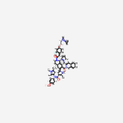 Cc1c(N(C(=O)c2cc(-c3cc4c(cc3C(=O)N3Cc5ccccc5C[C@H]3CN3CCCC3)CN(C(=O)Cc3ccc(OCCN(C)C5CC5)cc3F)CC4)n(C)c2C)c2ccc(O)cc2)cc(C#N)n1C